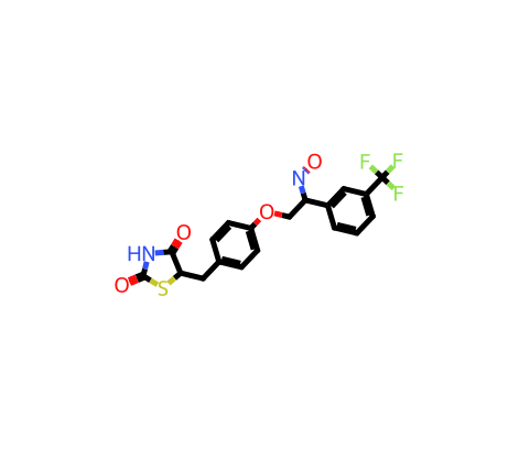 O=NC(COc1ccc(CC2SC(=O)NC2=O)cc1)c1cccc(C(F)(F)F)c1